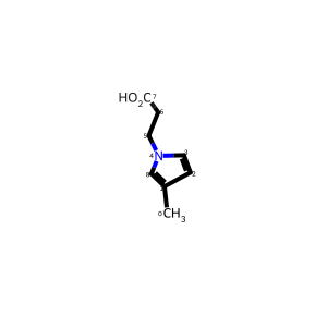 Cc1ccn(CCC(=O)O)c1